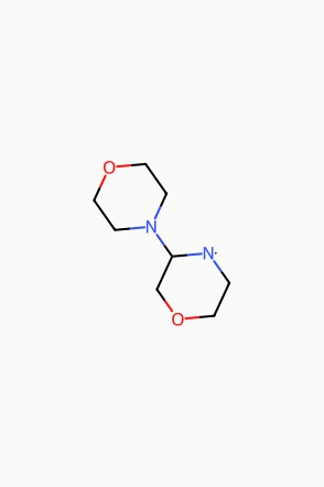 C1COCC(N2CCOCC2)[N]1